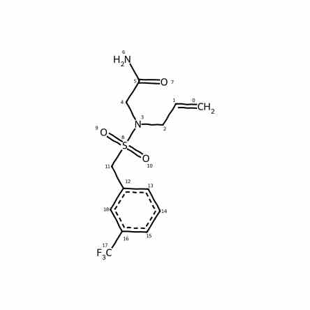 C=CCN(CC(N)=O)S(=O)(=O)Cc1cccc(C(F)(F)F)c1